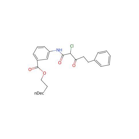 CCCCCCCCCCCCOC(=O)c1cccc(NC(=O)C(Cl)C(=O)CCc2ccccc2)c1